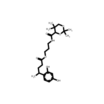 CC(CCC(=O)OCCCNC(=O)C1OC(C)(C)OCC1(C)C)c1ccc(O)cc1O